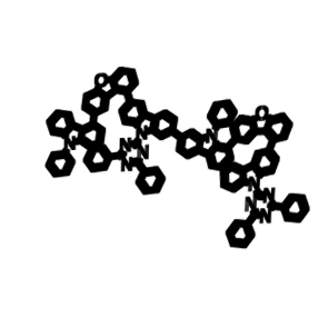 c1ccc(-c2nc(-c3ccccc3)nc(-n3c4ccccc4c4cc(-c5cccc6oc7ccc(-c8cccc9c%10ccc(-c%11ccc%12c%13cc(-c%14cccc%15oc%16ccc(-c%17cccc%18c%17c%17ccccc%17n%18-c%17ccccc%17)cc%16c%14%15)ccc%13n(-c%13nc(-c%14ccccc%14)nc(-c%14ccccc%14)n%13)c%12c%11)cc%10n(-c%10ccccc%10)c89)cc7c56)ccc43)n2)cc1